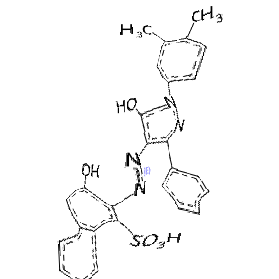 Cc1ccc(-n2nc(-c3ccccc3)c(/N=N/c3c(O)cc4ccccc4c3S(=O)(=O)O)c2O)cc1C